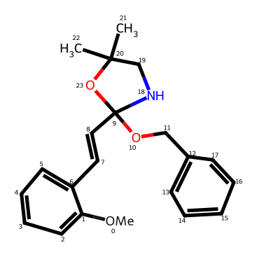 COc1ccccc1C=CC1(OCc2ccccc2)NCC(C)(C)O1